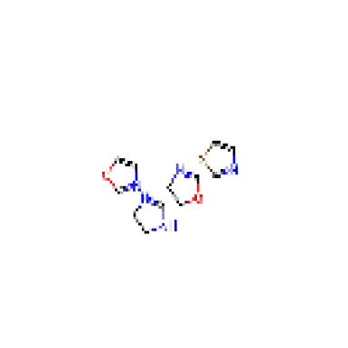 C1=NCCN1.C1=NCCO1.c1cocn1.c1cscn1